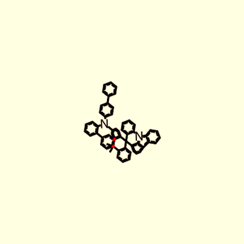 CC1(C)c2ccccc2C2(c3ccccc3-n3c4ccccc4c4cccc2c43)c2ccc(N(c3ccc(-c4ccccc4)cc3)c3ccccc3-c3ccccc3)cc21